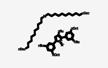 CCCCCCCCCCCCCCCCCCC[CH2][Ni][CH2]CCCCCCCCCCCCCCCCCCC.CCCCCCCCc1cc(CCCC)cc(C2=CC(CCCC)=C(c3cc(CCCC)cc(CCCCCCCC)c3)[N+]2=[N-])c1